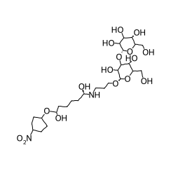 O=[N+]([O-])C1CCC(OC(O)CCCC[C@@H](O)NCCCO[C@@H]2OC(CO)[C@H](O)C(O[C@H]3OC(CO)[C@H](O)C(O)C3O)C2O)CC1